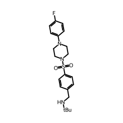 CC(C)(C)NCc1ccc(S(=O)(=O)N2CCN(c3ccc(F)cc3)CC2)cc1